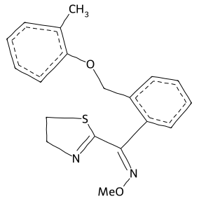 CON=C(C1=NCCS1)c1ccccc1COc1ccccc1C